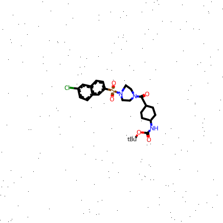 CC(C)(C)OC(=O)NC1CCC(C(=O)N2CCN(S(=O)(=O)c3ccc4cc(Cl)ccc4c3)CC2)CC1